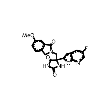 COc1ccc2c(c1)C(=O)N(C[C@@]1(c3cc4cc(F)cnc4o3)NC(=O)NC1=O)C2